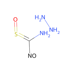 NC(N=O)=S=O.NN